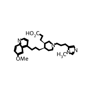 COc1ccc2nccc(CCC[C@@H]3CCN(CCCc4cncn4C)C[C@@H]3CCC(=O)O)c2c1